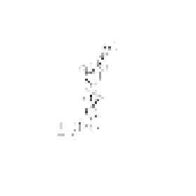 CCN(CC)C(=O)c1ccc(S(=O)(=O)NC(=O)c2cnc(OC(=O)NCC(=O)O)c(O)c2)cc1